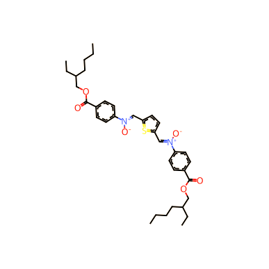 CCCCC(CC)COC(=O)c1ccc(/[N+]([O-])=C/c2ccc(/C=[N+](\[O-])c3ccc(C(=O)OCC(CC)CCCC)cc3)s2)cc1